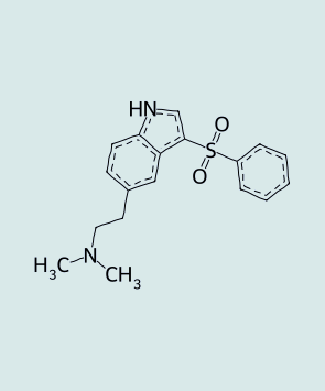 CN(C)CCc1ccc2[nH]cc(S(=O)(=O)c3ccccc3)c2c1